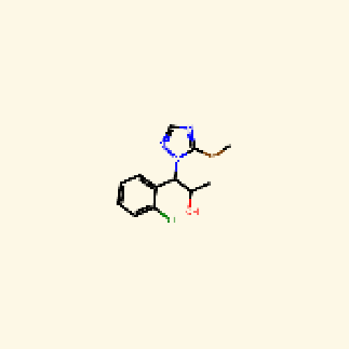 CSc1ncnn1C(c1ccccc1Cl)C(C)O